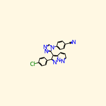 N#Cc1ccc(-n2cnnc2-c2c(-c3ccc(Cl)cc3)nn3ncccc23)cc1